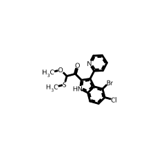 COC(SC)C(=O)c1[nH]c2ccc(Cl)c(Br)c2c1-c1ccccn1